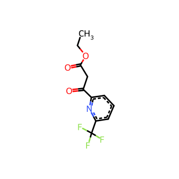 CCOC(=O)CC(=O)c1cccc(C(F)(F)F)n1